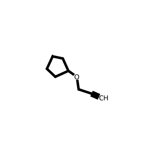 C#CCOC1C[CH]CC1